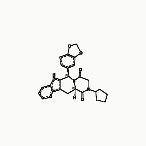 O=C1[C@H]2Cc3c([nH]c4ccccc34)[C@@H](c3ccc4c(c3)OCO4)N2C(=O)CN1C1CCCC1